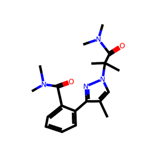 Cc1cn(C(C)(C)C(=O)N(C)C)nc1-c1ccccc1C(=O)N(C)C